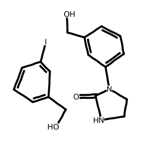 O=C1NCCN1c1cccc(CO)c1.OCc1cccc(I)c1